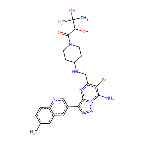 Cc1ccc2ncc(-c3cnn4c(N)c(Br)c(CNC5CCN(C(=O)C(O)C(C)(C)O)CC5)nc34)cc2c1